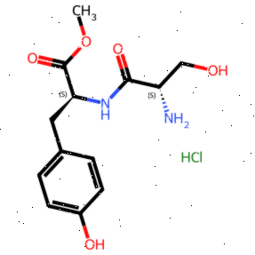 COC(=O)[C@H](Cc1ccc(O)cc1)NC(=O)[C@@H](N)CO.Cl